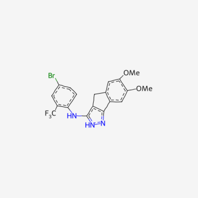 COc1cc2c(cc1OC)-c1n[nH]c(Nc3ccc(Br)cc3C(F)(F)F)c1C2